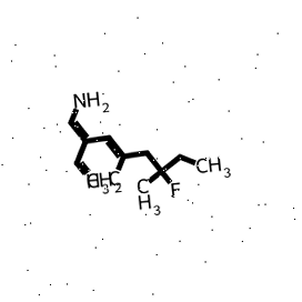 C=CC(=C/N)/C=C(\C)CC(C)(F)CC